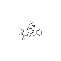 CON(C)C(=O)C1CC(Cc2ccccc2)(OC(=O)NC(C)(C)C)C1